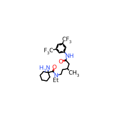 CCN(CCC(C)CC(=O)Nc1cc(C(F)(F)F)cc(C(F)(F)F)c1)C(=O)C1(N)CCCCC1